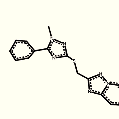 Cc1cccc2nc(CSc3nc(-c4ccccc4)n(C)n3)nn12